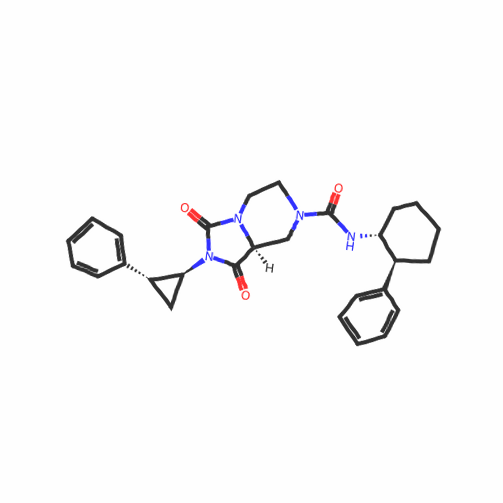 O=C(N[C@@H]1CCCC[C@H]1c1ccccc1)N1CCN2C(=O)N([C@H]3C[C@@H]3c3ccccc3)C(=O)[C@@H]2C1